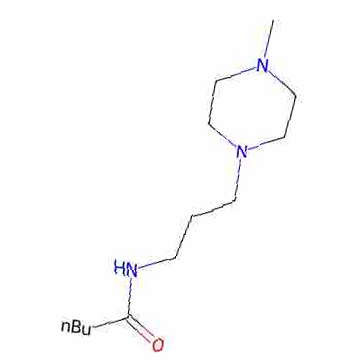 CCCCC(=O)NCCCN1CCN(C)CC1